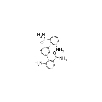 NC(=O)c1cccc(N)c1-c1cccc(-c2c(N)cccc2C(N)=O)c1